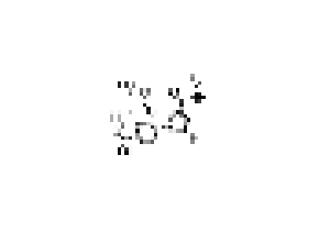 COCOc1c(-c2cc(F)cc(C(=O)NC3CC3)c2)ccc(C(=O)O)c1C